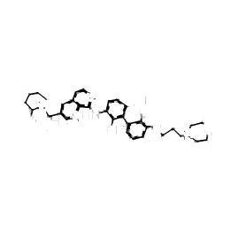 Cc1c(Nc2nccc3cc(CN4CCCCC4C(=O)O)cnc23)cccc1-c1cccc(OCCCN2CCOCC2)c1C